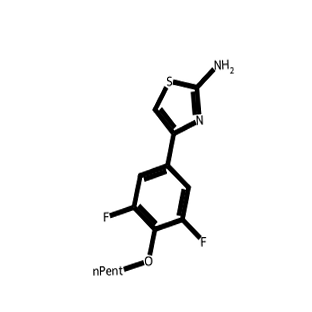 CCCCCOc1c(F)cc(-c2csc(N)n2)cc1F